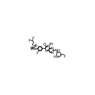 CC(C)n1c(=O)c(-c2ccc(NS(=O)(=O)CCC(F)F)c(F)c2)nc2cnc(N[C@@H]3CNC[C@H](CF)C3)nc21